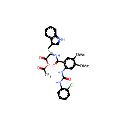 COc1cc(NC(=O)Nc2ccccc2Cl)c(C(=O)N[C@@H](Cc2c[nH]c3ccccc23)C(=O)OC(=O)C(F)(F)F)cc1OC